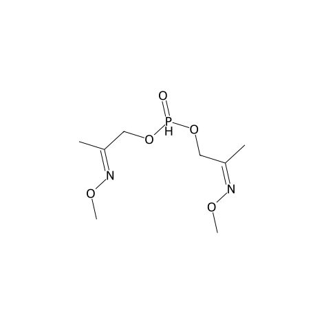 CON=C(C)CO[PH](=O)OCC(C)=NOC